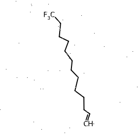 [CH]=CCCCCCCCCCCC(F)(F)F